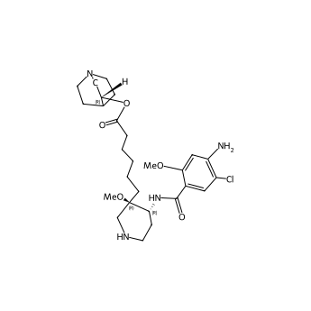 COc1cc(N)c(Cl)cc1C(=O)N[C@@H]1CCNC[C@@]1(CCCCCC(=O)O[C@H]1CN2CCC1CC2)OC